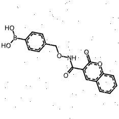 O=C(NOCc1ccc(B(O)O)cc1)c1cc2ccccc2oc1=O